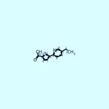 CCc1ccc(-c2ccc(C(C)=O)s2)nc1